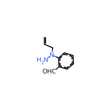 C=CCN(N)c1ccccc1C=O